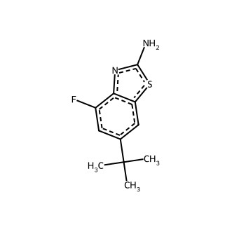 CC(C)(C)c1cc(F)c2nc(N)sc2c1